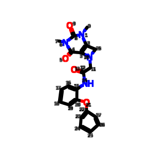 Cn1c2c(c(=O)n(C)c1=O)N(CC(=O)Nc1ccccc1Oc1ccccc1)C2